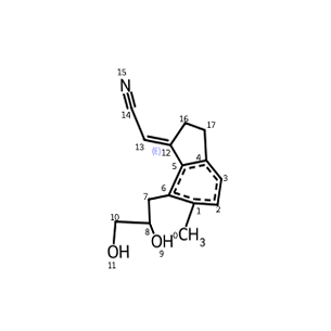 Cc1ccc2c(c1CC(O)CO)/C(=C/C#N)CC2